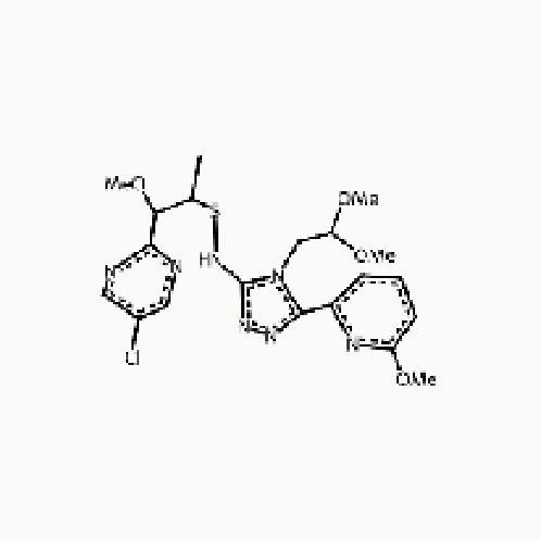 COc1cccc(-c2nnc(NSC(C)C(OC)c3ncc(Cl)cn3)n2CC(OC)OC)n1